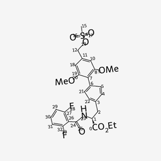 CCOC(=O)[C@H](Cc1ccc(-c2c(OC)cc(COS(C)(=O)=O)cc2OC)cc1)NC(=O)c1c(F)cccc1F